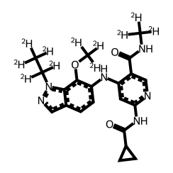 [2H]C([2H])([2H])NC(=O)c1cnc(NC(=O)C2CC2)cc1Nc1ccc2cnn(C([2H])([2H])C([2H])([2H])[2H])c2c1OC([2H])([2H])[2H]